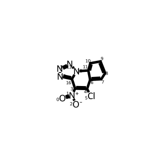 O=[N+]([O-])c1c(Cl)c2ccccc2n2nnnc12